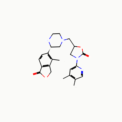 Cc1cc(N2CC(CN3CCN[C@H](c4ccc5c(c4C)COC5=O)C3)OC2=O)ncc1C#N